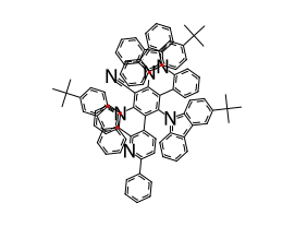 CC(C)(C)c1ccc2c(c1)c1ccccc1n2-c1c(C#N)c(-n2c3ccccc3c3cc(C(C)(C)C)ccc32)c(-c2ccc(-c3ccccc3)nc2-c2ccccc2)c(-n2c3ccccc3c3cc(C(C)(C)C)ccc32)c1-c1ccccc1-n1c2ccccc2c2ccccc21